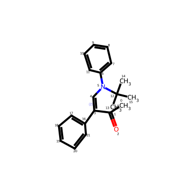 CC(=O)/C(=C\N(c1ccccc1)C(C)(C)C)c1ccccc1